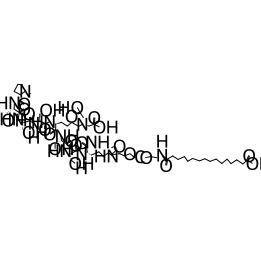 CN1CCC[C@H]1C(=O)N[C@@H](CO)C(=O)N[C@@H](CO)C(=O)N[C@@H](CO)C(=O)N[C@@H](CCCCN(CC(=O)O)CC(=O)O)C(=O)N[C@@H](CO)C(=O)N[C@@H](CO)C(=O)N[C@@H](CCCCNC(=O)COCCOCCNC(=O)CCCCCCCCCCCCCCC(=O)O)C(N)=O